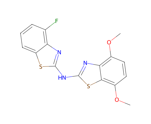 COc1ccc(OC)c2sc(Nc3nc4c(F)cccc4s3)nc12